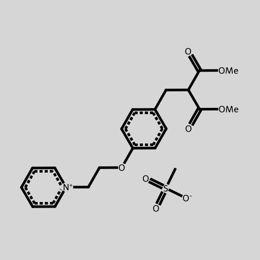 COC(=O)C(Cc1ccc(OCC[n+]2ccccc2)cc1)C(=O)OC.CS(=O)(=O)[O-]